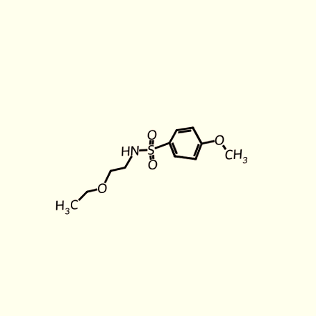 CCOCCNS(=O)(=O)c1ccc(OC)cc1